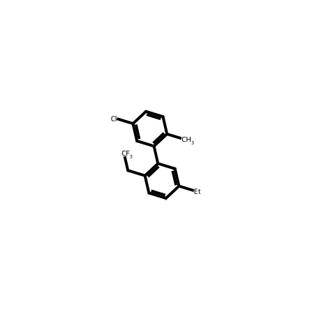 CCc1[c]cc(CC(F)(F)F)c(-c2cc(Cl)ccc2C)c1